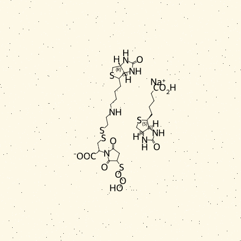 O=C(O)CCCC[C@@H]1SC[C@@H]2NC(=O)N[C@@H]21.O=C1N[C@H]2CSC(CCCCNCCSSCC(C(=O)[O-])N3C(=O)CC(SOOO)C3=O)[C@H]2N1.[Na+]